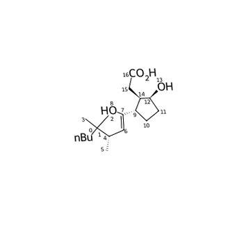 CCCCC(C)(C)[C@@H](C)C=C(O)[C@H]1CC[C@H](O)[C@@H]1CC(=O)O